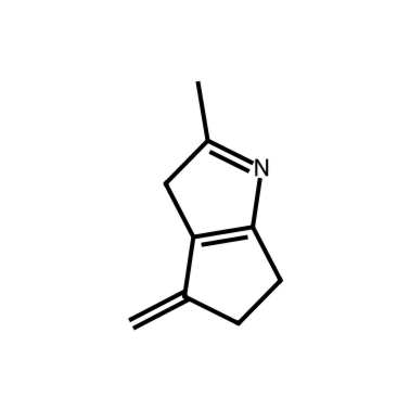 C=C1CCC2=C1CC(C)=N2